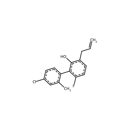 C=CCc1ccc(F)c(-c2ccc(Cl)cc2C)c1O